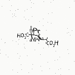 CCCC(C=CCC(=O)O)(CCC)C(=O)O